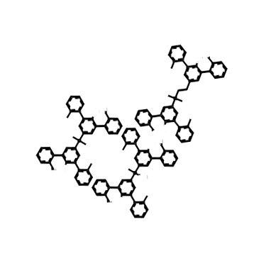 CCC(C)(c1cc(-c2ccccc2C)c(O)c(-c2ccccc2C)c1)c1cc(-c2ccccc2C)c(O)c(-c2ccccc2C)c1.Cc1ccccc1-c1cc(C(C)(C)c2cc(-c3ccccc3C)c(O)c(-c3ccccc3C)c2)cc(-c2ccccc2C)c1O.Cc1ccccc1-c1cc(CCC(C)(C)c2cc(-c3ccccc3C)c(O)c(-c3ccccc3C)c2)cc(-c2ccccc2C)c1O